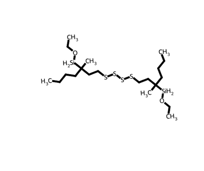 CCCCC(C)(CCSSSSCCC(C)(CCCC)[SiH2]OCC)[SiH2]OCC